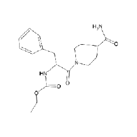 CCOC(=O)NC(Cc1ccccc1)C(=O)N1CCC(C(N)=O)CC1